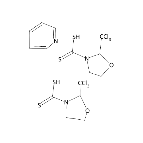 S=C(S)N1CCOC1C(Cl)(Cl)Cl.S=C(S)N1CCOC1C(Cl)(Cl)Cl.c1ccncc1